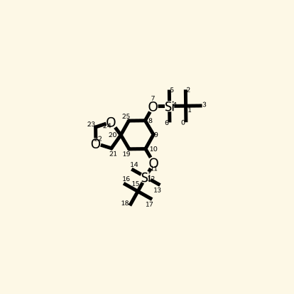 CC(C)(C)[Si](C)(C)OC1CC(O[Si](C)(C)C(C)(C)C)CC2(COCO2)C1